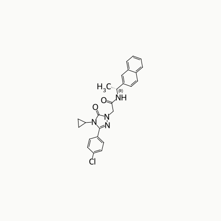 C[C@@H](NC(=O)Cn1nc(-c2ccc(Cl)cc2)n(C2CC2)c1=O)c1ccc2ccccc2c1